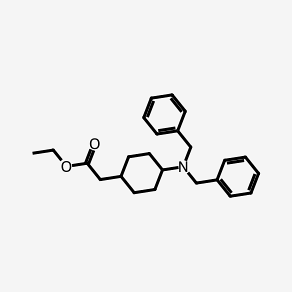 CCOC(=O)CC1CCC(N(Cc2ccccc2)Cc2ccccc2)CC1